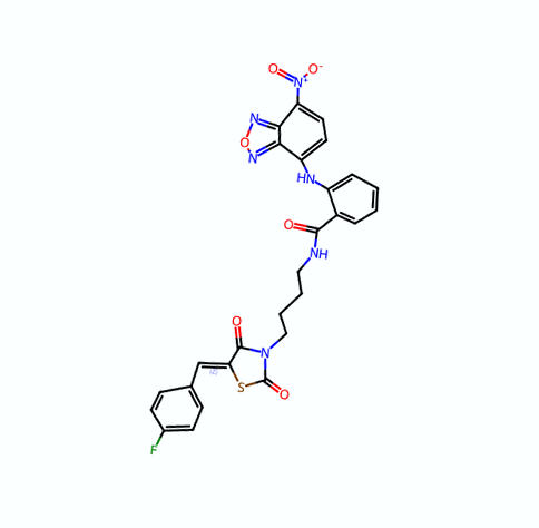 O=C(NCCCCN1C(=O)S/C(=C\c2ccc(F)cc2)C1=O)c1ccccc1Nc1ccc([N+](=O)[O-])c2nonc12